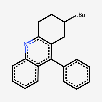 CC(C)(C)C1CCc2nc3ccccc3c(-c3ccccc3)c2C1